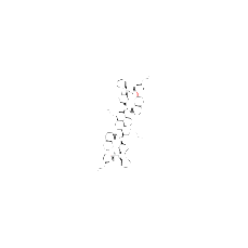 CCCc1cccc(-n2c3ccccc3c3ccc(N(c4cccc5c4CCCC5)c4cc(CCC)c5ccc6c(N(c7ccc8c9ccccc9n(-c9cccc(CCC)c9)c8c7)c7cccc8c7CCCC8)cc(CCC)c7ccc4c5c76)cc32)c1